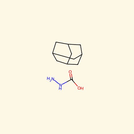 C1C2CC3CC1CC(C2)C3.NNC(=O)O